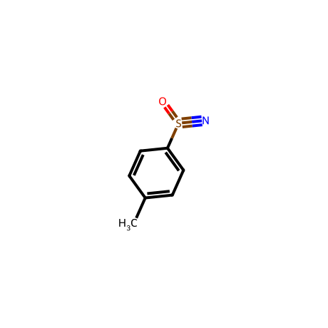 Cc1ccc(S(#N)=O)cc1